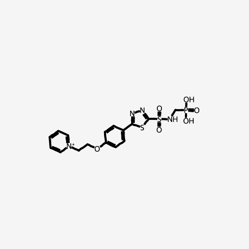 O=P(O)(O)CNS(=O)(=O)c1nnc(-c2ccc(OCC[n+]3ccccc3)cc2)s1